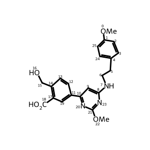 COc1ccc(CCNc2cc(-c3ccc(CO)c(C(=O)O)c3)nc(OC)n2)cc1